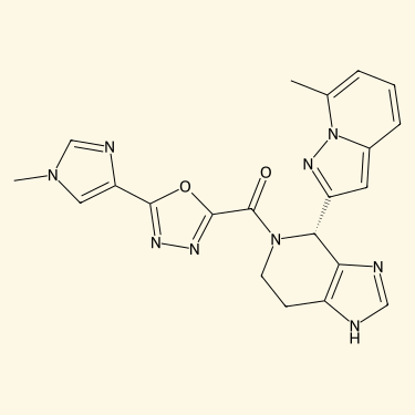 Cc1cccc2cc([C@@H]3c4nc[nH]c4CCN3C(=O)c3nnc(-c4cn(C)cn4)o3)nn12